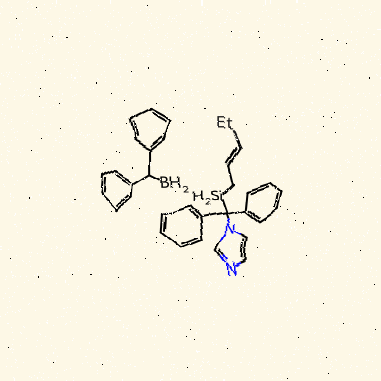 BC(c1ccccc1)c1ccccc1.CCC=CC[SiH2]C(c1ccccc1)(c1ccccc1)n1ccnc1